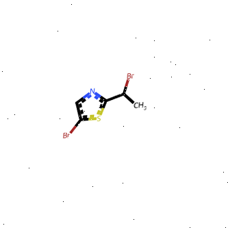 CC(Br)c1ncc(Br)s1